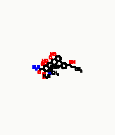 C=CCC(O)c1ccc(OC)c(-c2ccc(O)c3c2C[C@@H]2C[C@@H]4[C@@H](N(C)C)C(O)=C(C(N)=O)C(=O)[C@]4(O)C(O)=C2C3=O)c1